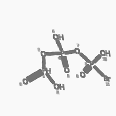 O=[PH](O)OP(=O)(O)OP(=O)(O)Br